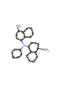 Cc1ccc(N(c2ccccc2)c2ccc(C)c3ccccc23)c2ccccc12